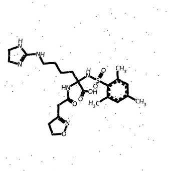 Cc1cc(C)c(S(=O)(=O)NC(CCCCNC2=NCCN2)(NC(=O)CC2=NOCC2)C(=O)O)c(C)c1